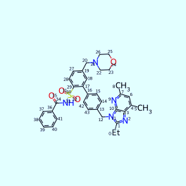 CCc1nc2c(C)cc(C)nc2n1Cc1ccc(-c2cc(CN3CCOCC3)ccc2S(=O)(=O)NC(=O)c2ccccc2)cc1